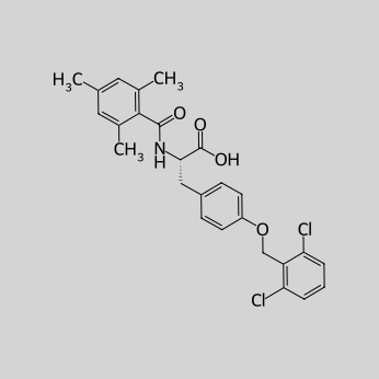 Cc1cc(C)c(C(=O)N[C@@H](Cc2ccc(OCc3c(Cl)cccc3Cl)cc2)C(=O)O)c(C)c1